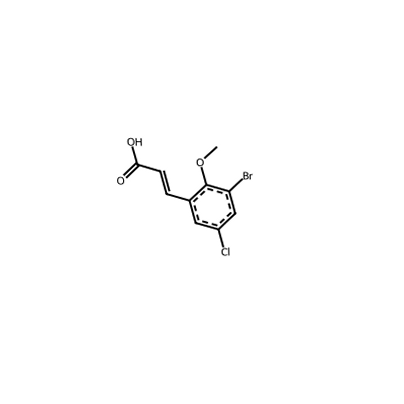 COc1c(Br)cc(Cl)cc1C=CC(=O)O